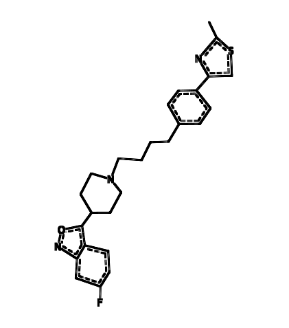 Cc1nc(-c2ccc(CCCCN3CCC(c4onc5cc(F)ccc45)CC3)cc2)cs1